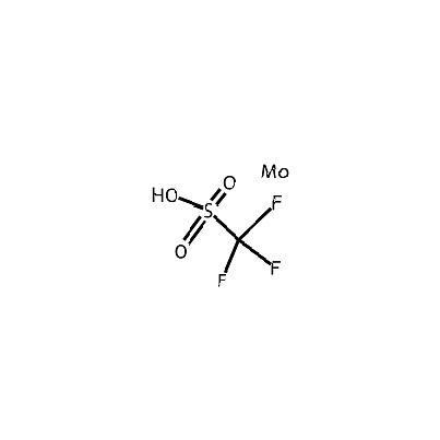 O=S(=O)(O)C(F)(F)F.[Mo]